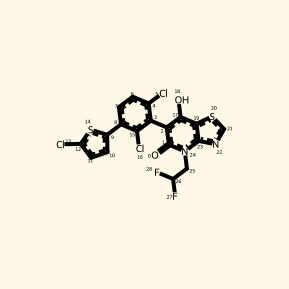 O=c1c(-c2c(Cl)ccc(-c3ccc(Cl)s3)c2Cl)c(O)c2scnc2n1CC(F)F